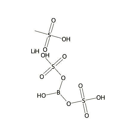 CS(=O)(=O)O.O=S(=O)(O)OB(O)OS(=O)(=O)O.[LiH]